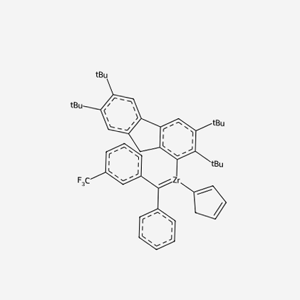 CC(C)(C)c1cc2c(cc1C(C)(C)C)-c1cc(C(C)(C)C)c(C(C)(C)C)[c](/[Zr]([C]3=CC=CC3)=[C](/c3ccccc3)c3cccc(C(F)(F)F)c3)c1C2